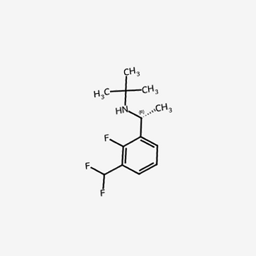 C[C@@H](NC(C)(C)C)c1cccc(C(F)F)c1F